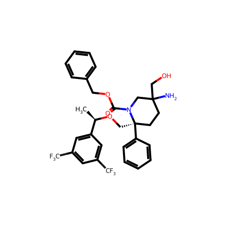 C[C@@H](OC[C@@]1(c2ccccc2)CCC(N)(CO)CN1C(=O)OCc1ccccc1)c1cc(C(F)(F)F)cc(C(F)(F)F)c1